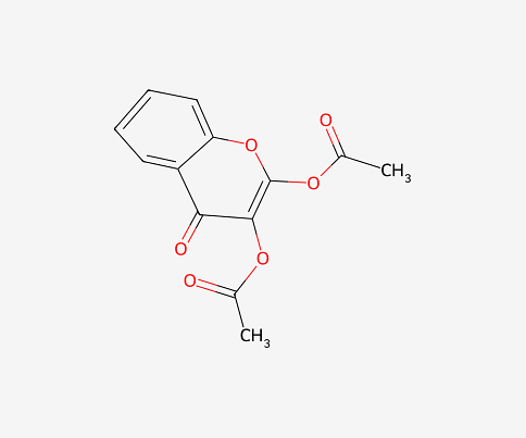 CC(=O)Oc1oc2ccccc2c(=O)c1OC(C)=O